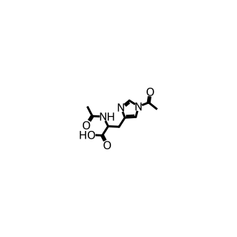 CC(=O)NC(Cc1cn(C(C)=O)cn1)C(=O)O